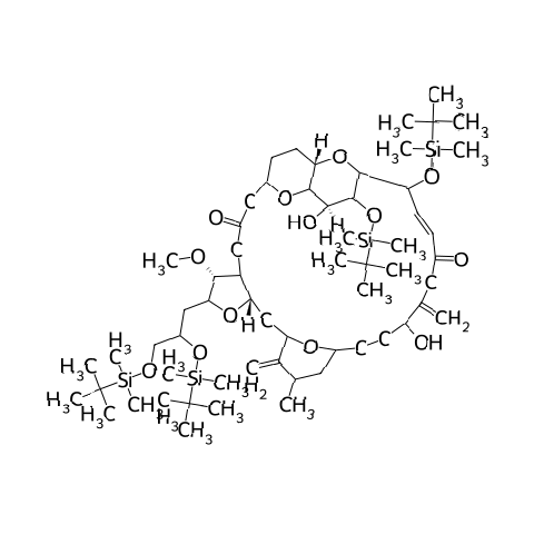 C=C1CC(=O)/C=C/C(O[Si](C)(C)C(C)(C)C)C2O[C@H]3CCC(CC(=O)CC4[C@@H](OC)C(CC(CO[Si](C)(C)C(C)(C)C)O[Si](C)(C)C(C)(C)C)O[C@H]4CC4OC(CCC1O)CC(C)C4=C)OC3[C@H](O)C2O[Si](C)(C)C(C)(C)C